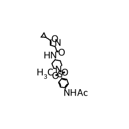 CC(=O)Nc1ccc(S(=O)(=O)N2CC[C@@H](NC(=O)c3cc(C4CC4)on3)C[C@H]2C)cc1